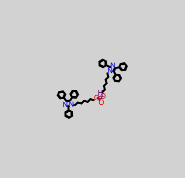 O=[PH](OCCCCCCCn1c(-c2ccccc2)nc(-c2ccccc2)c1-c1ccccc1)OCCCCCCCn1c(-c2ccccc2)nc(-c2ccccc2)c1-c1ccccc1